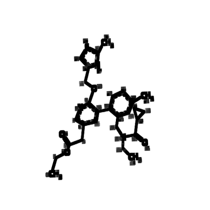 CCOC(=O)Cc1cnc(OCc2csc(C)n2)c(-c2ccc(C)cc2CN(CC)C(=O)C2CC2)c1